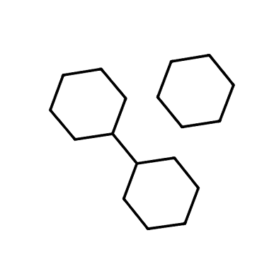 C1CCC(C2CCCCC2)CC1.C1CCCCC1